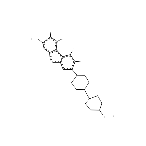 CCCCCC1CCC(C2CCC(c3cc4oc5cc(CCC)c(F)c(F)c5c4c(F)c3F)CC2)CC1